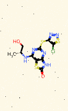 C[C@H](CO)Nc1nc(Sc2nnsc2Cl)nc2[nH]c(=O)sc12